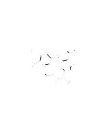 Cc1cc(Nc2nc(N(N)[C@H](C)CC=O)cnc2C(N)=O)cnc1N(C)C